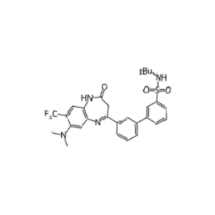 CN(C)c1cc2c(cc1C(F)(F)F)NC(=O)CC(c1cccc(-c3cccc(S(=O)(=O)NC(C)(C)C)c3)c1)=N2